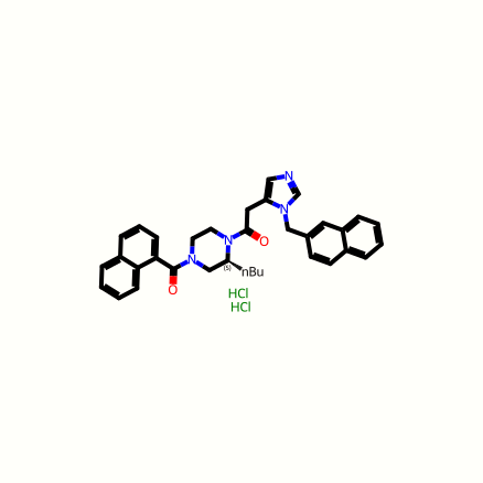 CCCC[C@H]1CN(C(=O)c2cccc3ccccc23)CCN1C(=O)Cc1cncn1Cc1ccc2ccccc2c1.Cl.Cl